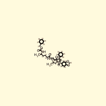 CC(C)CN(C(O)(CCNC(=O)CCCC(C)NC(=O)OCc1ccccc1)Cc1ccccc1)S(=O)(=O)c1ccc2c(c1)OCO2